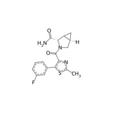 Cc1nc(C(=O)N2C[C@@H]3CC3[C@H]2C(N)=O)c(-c2cccc(F)c2)s1